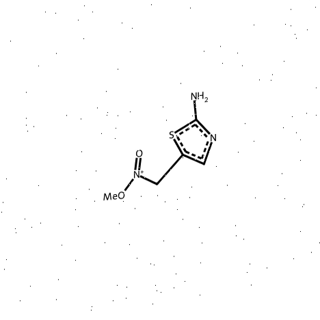 CO[N+](=O)Cc1cnc(N)s1